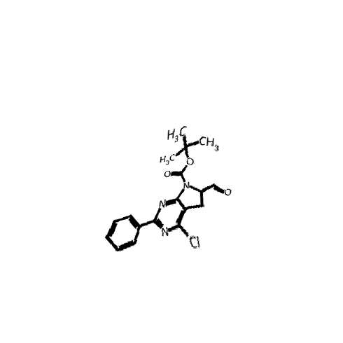 CC(C)(C)OC(=O)N1c2nc(-c3ccccc3)nc(Cl)c2CC1C=O